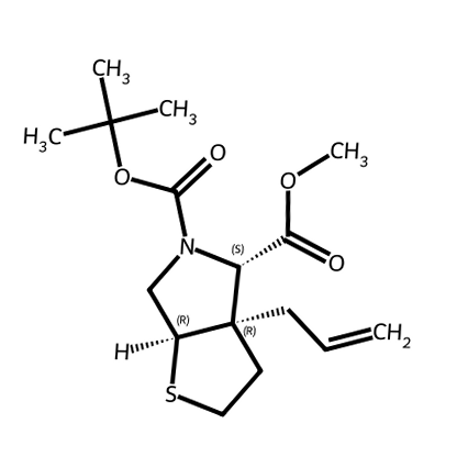 C=CC[C@]12CCS[C@H]1CN(C(=O)OC(C)(C)C)[C@@H]2C(=O)OC